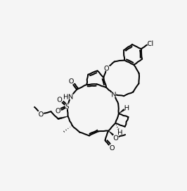 COCC[C@@H]1[C@@H](C)C/C=C/[C@](C=O)(OC)[C@@H]2CC[C@H]2CN2CCCCc3cc(Cl)ccc3COc3ccc(cc32)C(=O)NS1(=O)=O